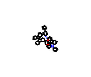 c1ccc(-c2ccc(N(c3ccc4c(c3)C(c3ccccc3)(c3ccccc3)c3ccccc3-4)c3ccc4c(c3)C3(c5ccccc5)c5ccccc5N(c5ccccc5)c5cccc-4c53)cc2)cc1